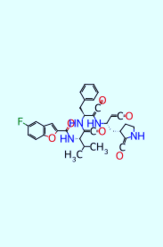 CC(C)[C@H](NC(=O)c1cc2cc(F)ccc2o1)C(=C=O)N[C@@H](Cc1ccccc1)C(=C=O)N[C@H](C=C=O)C[C@@H]1CCNC1=C=O